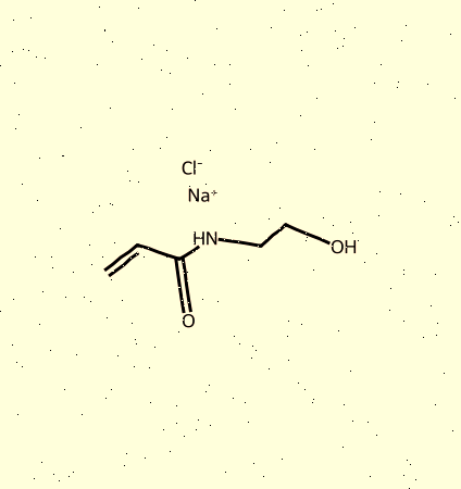 C=CC(=O)NCCO.[Cl-].[Na+]